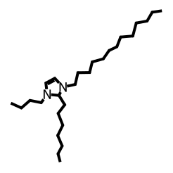 CCCCCCCCCCCCCN1C=CN(CCCC)C1CCCCCCC